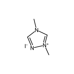 Cn1cn[n+](C)c1.[I-]